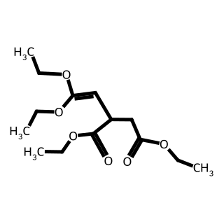 CCOC(=O)CC(C=C(OCC)OCC)C(=O)OCC